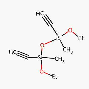 C#C[Si](C)(OCC)O[Si](C)(C#C)OCC